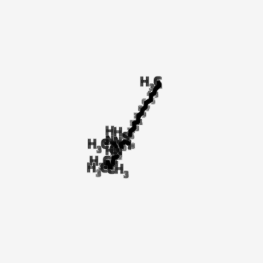 CCCCCCCCCCCCCCCCSC(I)C(CNCCC[N+](C)(C)C)NC(=O)NC